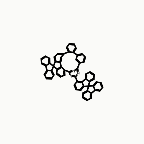 c1cc2cc(c1)-c1ccccc1-c1ccc3c(c1)-c1c(cccc1C31c3ccccc3-c3ccccc31)-c1nc-2nc(-c2cccc3c2-c2ccccc2C32c3ccccc3-c3ccccc32)n1